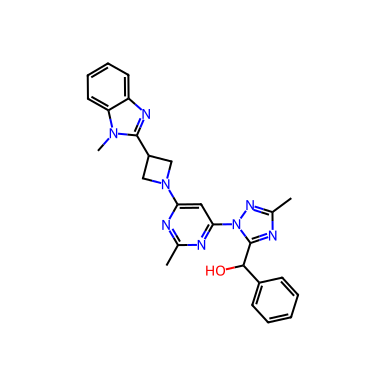 Cc1nc(N2CC(c3nc4ccccc4n3C)C2)cc(-n2nc(C)nc2C(O)c2ccccc2)n1